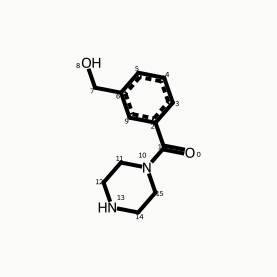 O=C(c1cccc(CO)c1)N1CCNCC1